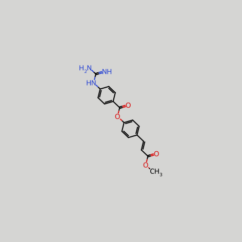 COC(=O)/C=C/c1ccc(OC(=O)c2ccc(NC(=N)N)cc2)cc1